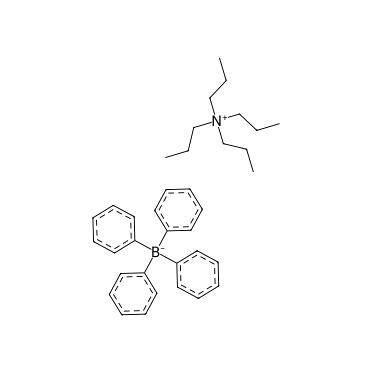 CCC[N+](CCC)(CCC)CCC.c1ccc([B-](c2ccccc2)(c2ccccc2)c2ccccc2)cc1